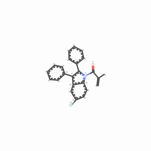 C=C(C)C(=O)n1c(-c2ccccc2)c(-c2ccccc2)c2cc(Cl)ccc21